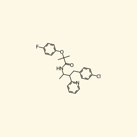 CC(NC(=O)C(C)(C)Oc1ccc(F)cc1)C(Cc1ccc(Cl)cc1)c1ccccn1